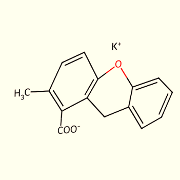 Cc1ccc2c(c1C(=O)[O-])Cc1ccccc1O2.[K+]